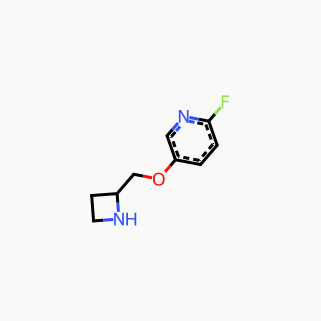 Fc1ccc(OCC2CCN2)cn1